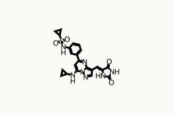 O=C1NC(=O)/C(=C/c2cnn3c(NC4CC4)cc(-c4cccc(NS(=O)(=O)C5CC5)c4)nc23)N1